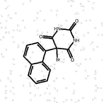 O=C1NC(=O)C(Br)(c2cccc3ccccc23)C(=O)N1